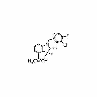 C[C@H](O)c1cccc2c1C(F)(F)C(=O)N2Cc1cc(Cl)c(F)cn1